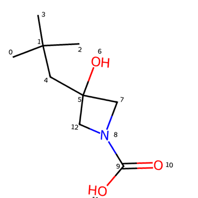 CC(C)(C)CC1(O)CN(C(=O)O)C1